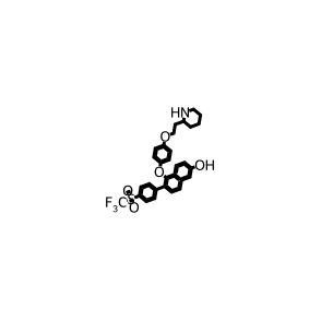 O=S(=O)(c1ccc(-c2ccc3cc(O)ccc3c2Oc2ccc(OCCC3CCCCN3)cc2)cc1)C(F)(F)F